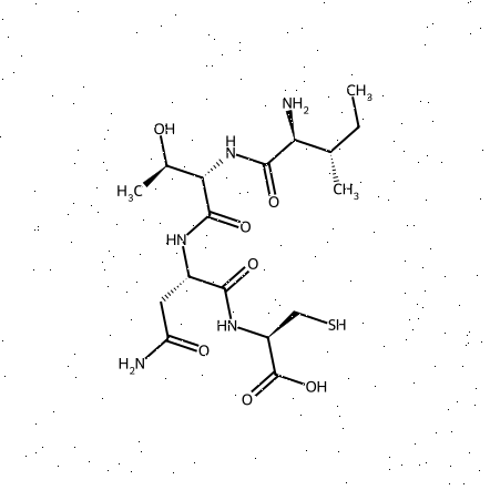 CC[C@H](C)[C@H](N)C(=O)N[C@H](C(=O)N[C@@H](CC(N)=O)C(=O)N[C@@H](CS)C(=O)O)[C@@H](C)O